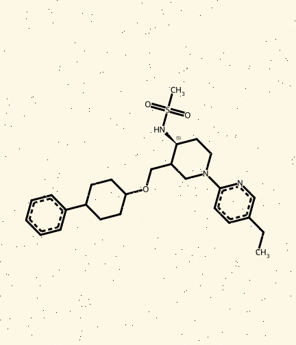 CCc1ccc(N2CC[C@H](NS(C)(=O)=O)C(COC3CCC(c4ccccc4)CC3)C2)nc1